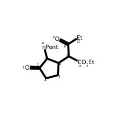 CCCCCC1C(=O)CCC1C(C(=O)CC)C(=O)OCC